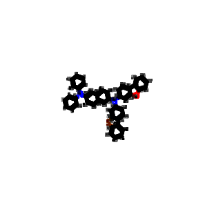 c1ccc(N(c2ccccc2)c2ccc3cc(N(c4ccc5c(c4)oc4ccccc45)c4ccc5c(c4)sc4ccccc45)ccc3c2)cc1